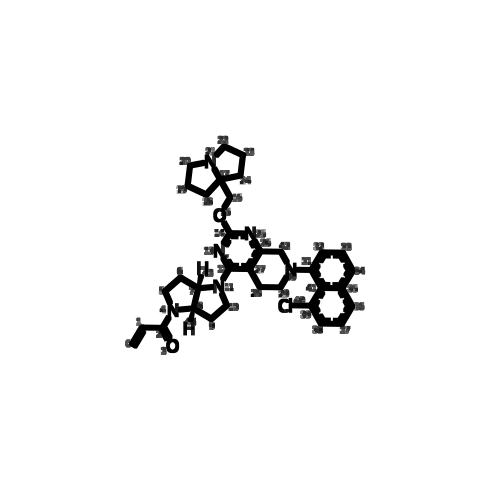 C=CC(=O)N1CC[C@H]2[C@@H]1CCN2c1nc(OCC23CCCN2CCC3)nc2c1CCN(c1cccc3cccc(Cl)c13)C2